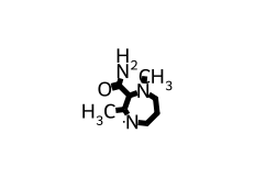 CC1[N]CCCN(C)C1C(N)=O